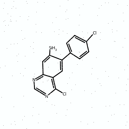 [SiH3]c1cc2ncnc(Cl)c2cc1-c1ccc(Cl)cc1